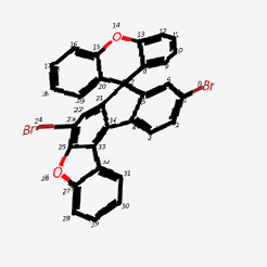 Brc1ccc2c(c1)C1(c3ccccc3Oc3ccccc31)c1cc(Br)c3oc4ccccc4c3c1-2